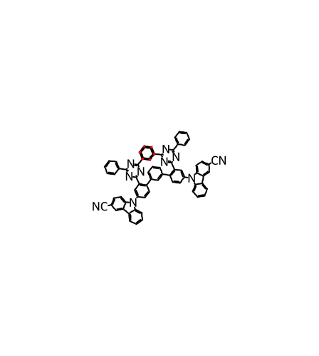 N#Cc1ccc2c(c1)c1ccccc1n2-c1ccc(-c2cccc(-c3ccc(-n4c5ccccc5c5cc(C#N)ccc54)cc3-c3nc(-c4ccccc4)nc(-c4ccccc4)n3)c2)c(-c2nc(-c3ccccc3)nc(-c3ccccc3)n2)c1